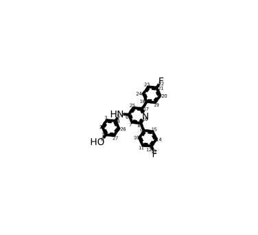 Oc1ccc(Nc2cc(-c3ccc(F)cc3)nc(-c3ccc(F)cc3)c2)cc1